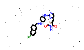 O=C1NC(=O)C(=Cc2ccnc(N[C@H]3CC[C@H](NCc4ccc5cc(Br)ccc5c4)CC3)n2)S1